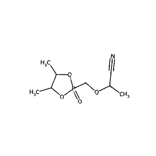 CC(C#N)OCP1(=O)OC(C)C(C)O1